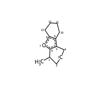 CC1CCCc2c1oc1c2CCCC1